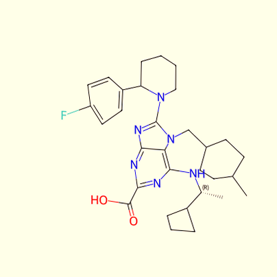 CC1CCC(Cn2c(N3CCCCC3c3ccc(F)cc3)nc3nc(C(=O)O)nc(N[C@H](C)C4CCC4)c32)CC1